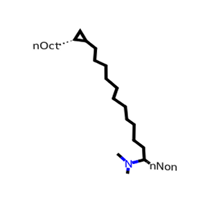 CCCCCCCCCC(CCCCCCCCCCCC1C[C@H]1CCCCCCCC)N(C)C